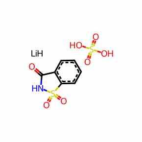 O=C1NS(=O)(=O)c2ccccc21.O=S(=O)(O)O.[LiH]